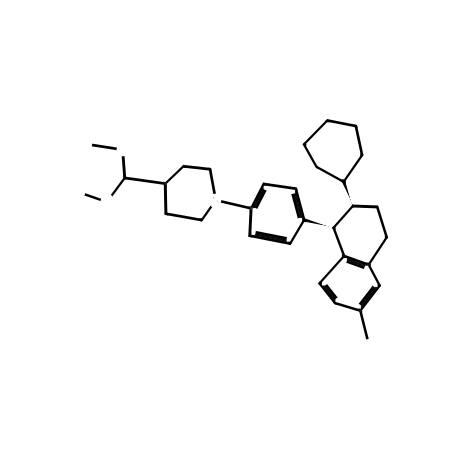 COC(OC)C1CCN(c2ccc([C@@H]3c4ccc(O)cc4CC[C@@H]3C3CCCCC3)cc2)CC1